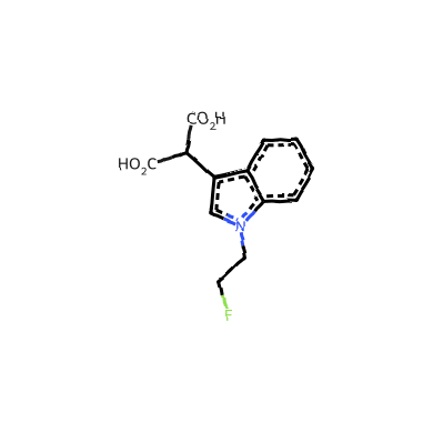 O=C(O)C(C(=O)O)c1cn(CCF)c2ccccc12